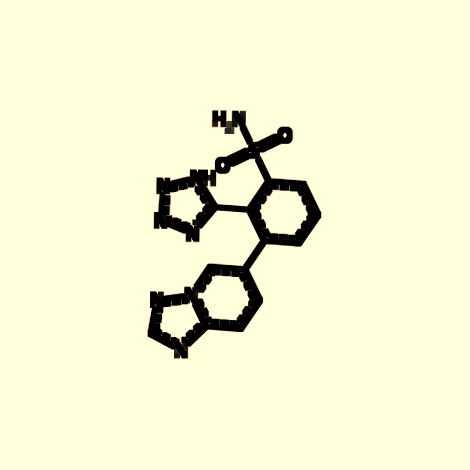 NS(=O)(=O)c1cccc(-c2ccc3ncnn3c2)c1-c1nnn[nH]1